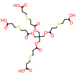 O=C(O)CCSCCC(=O)OCC(COC(=O)CCSCCC(=O)O)(COC(=O)CCSCCC(=O)O)COC(=O)CCSCCC(=O)O